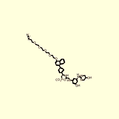 [N-]=[N+]=NCCOCCOCCOCCOCCOc1ccc(-c2ccc([C@H](CC(=O)O)NC(=O)CNc3cc(O)cc(NC4=NCC(O)CN4)c3)cc2)c2ccccc12